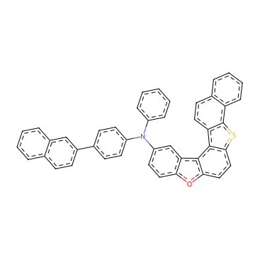 c1ccc(N(c2ccc(-c3ccc4ccccc4c3)cc2)c2ccc3oc4ccc5sc6c7ccccc7ccc6c5c4c3c2)cc1